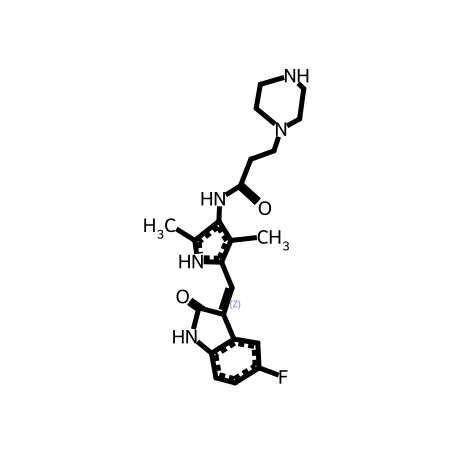 Cc1[nH]c(/C=C2\C(=O)Nc3ccc(F)cc32)c(C)c1NC(=O)CCN1CCNCC1